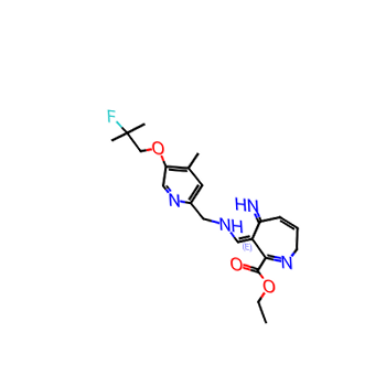 CCOC(=O)C1=NCC=CC(=N)/C1=C\NCc1cc(C)c(OCC(C)(C)F)cn1